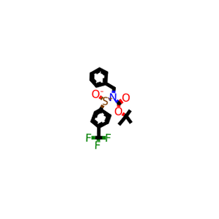 CC(C)(C)OC(=O)N(Cc1ccccc1)[S+]([O-])c1ccc(C(F)(F)F)cc1